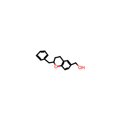 OCc1ccc2c(c1)CCC(Cc1ccccc1)O2